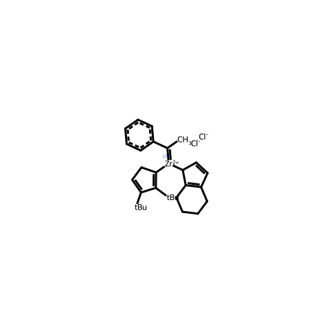 C/[C](c1ccccc1)=[Zr+2](/[C]1=C(C(C)(C)C)C(C(C)(C)C)=CC1)[CH]1C=CC2=C1CCCC2.[Cl-].[Cl-]